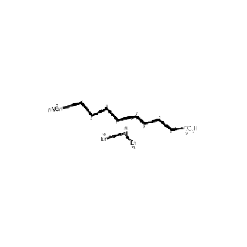 CCCCCCCCCCCCCCCCCC(=O)O.C[CH2][Al][CH2]C